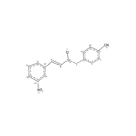 N#Cc1ccc(C[S+]([O-])C=Cc2cccc([N+](=O)[O-])c2)cc1